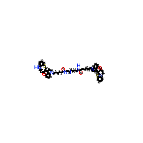 O=C(CCCCCN1C=CC2=C3CSc4ccccc4NCCC3Oc3cccc1c32)NCCCCCCNC(=O)CCCCCN1C=CC2=C3c4sc5ccccc5[n+]4CCC3Oc3cccc1c32